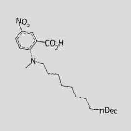 CCCCCCCCCCCCCCCCCCN(C)c1ccc([N+](=O)[O-])cc1C(=O)O